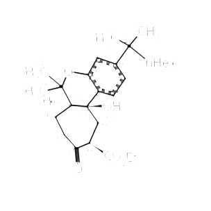 CCCCCCC(C)(C)c1ccc2c(c1)OC(C)(C)[C@@H]1CCC(=O)[C@H](C(=O)OCC)C[C@@]21O